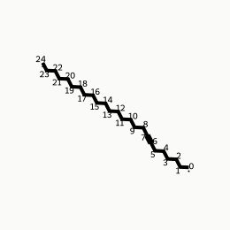 [CH2]CCCCCC#CCCCCCCCCCCCCCCCC[CH2]